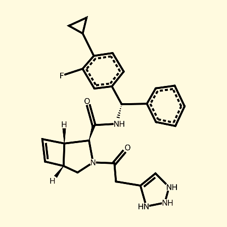 O=C(N[C@@H](c1ccccc1)c1ccc(C2CC2)c(F)c1)[C@@H]1[C@H]2C=C[C@H]2CN1C(=O)CC1=CNNN1